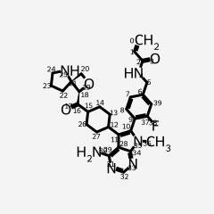 C=CC(=O)NCc1ccc(-c2c(C3CCC(C(=O)[C@@H]4OC[C@]45CCCN5)CC3)c3c(N)ncnc3n2C)c(F)c1